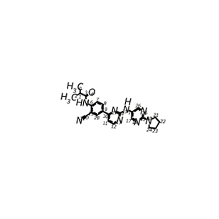 CC(C)C(=O)Nc1ccc(-c2ccnc(Nc3cnc(N4CCCC4)nc3)n2)cc1C#N